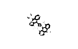 CCN(CC)c1c2cccc(O)c2c(C2C(O)C(c3c4c(N)cccc4c(N(C)C)c4cccc(N)c34)C2O)c2c(O)cccc12